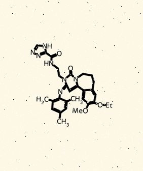 CCOc1cc2c(cc1OC)-c1c/c(=N\c3c(C)cc(C)cc3C)n(CCNC(=O)c3nnc[nH]3)c(=O)n1CCC2